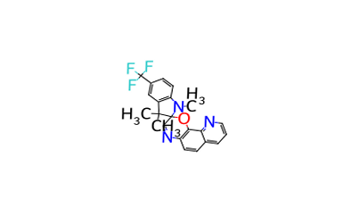 CN1c2ccc(C(F)(F)F)cc2C(C)(C)C12C=Nc1ccc3cccnc3c1O2